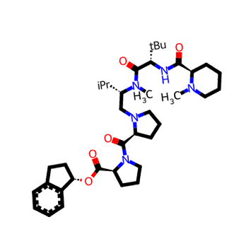 CC(C)[C@@H](CN1CCC[C@H]1C(=O)N1CCC[C@H]1C(=O)O[C@H]1CCc2ccccc21)N(C)C(=O)[C@@H](NC(=O)[C@H]1CCCCN1C)C(C)(C)C